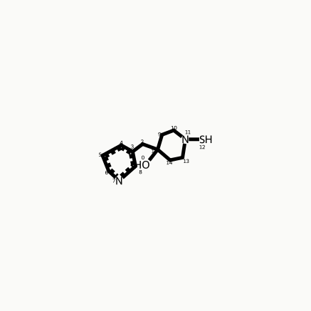 OC1(Cc2cccnc2)CCN(S)CC1